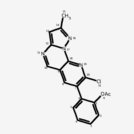 CC(=O)Oc1ccccc1-c1cc2cnc3cc(C)nn3c2nc1Cl